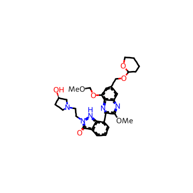 COCOc1cc(COC2CCCCO2)cc2nc(OC)c(-c3cccc4c(=O)n(CCN5CC[C@@H](O)C5)[nH]c34)nc12